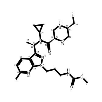 COC(=O)NCCCn1nc([C@@H](C)N(C(=O)[C@H]2CN[C@@H](CF)CO2)C2CC2)c2ccc(C)nc21